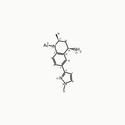 CC(=O)N1c2ccc(-c3ccn(C)n3)cc2[C@H](N)C[C@@H]1C